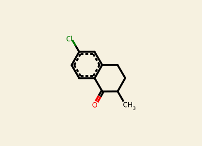 CC1CCc2cc(Cl)ccc2C1=O